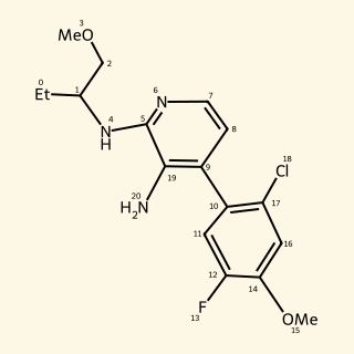 CCC(COC)Nc1nccc(-c2cc(F)c(OC)cc2Cl)c1N